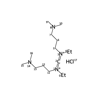 CC[N+](=C=[N+](CC)CCCN(C)C)CCCN(C)C.Cl